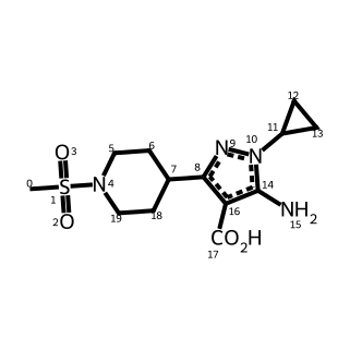 CS(=O)(=O)N1CCC(c2nn(C3CC3)c(N)c2C(=O)O)CC1